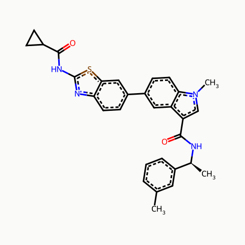 Cc1cccc([C@H](C)NC(=O)c2cn(C)c3ccc(-c4ccc5nc(NC(=O)C6CC6)sc5c4)cc23)c1